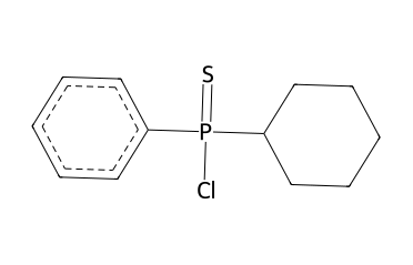 S=P(Cl)(c1ccccc1)C1CCCCC1